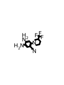 N#Cc1cc(N)c(N)cc1N1CCCC(C(F)(F)F)C1